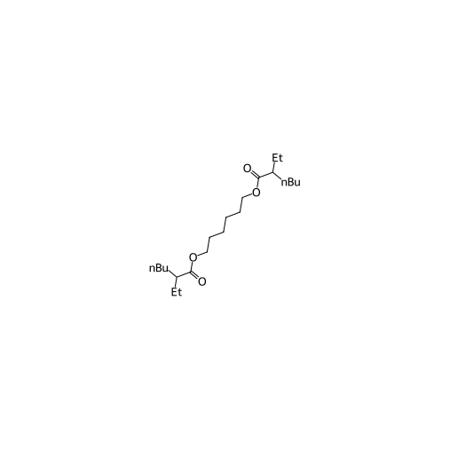 CCCCC(CC)C(=O)OCCCCCCOC(=O)C(CC)CCCC